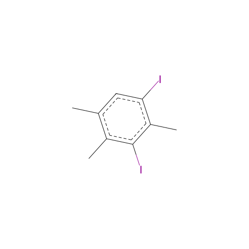 Cc1cc(I)c(C)c(I)c1C